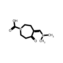 CN(C)C=C1CCN(C(=O)O)CCC1=O